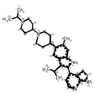 Cc1cc2[nH]c(-c3ccnc4[nH]ncc34)c(C(C)C)c2cc1C1CCN(C2CCN(C(C)C)CC2)CC1